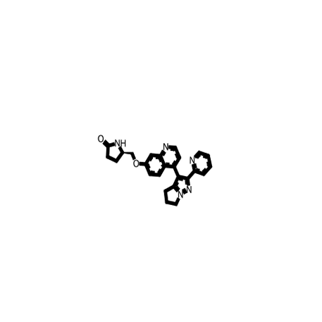 O=C1CC[C@H](COc2ccc3c(-c4c(-c5ccccn5)nn5c4CCC5)ccnc3c2)N1